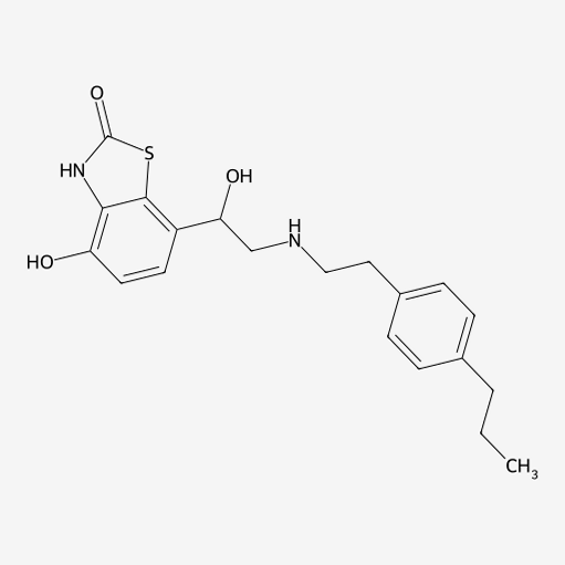 CCCc1ccc(CCNCC(O)c2ccc(O)c3[nH]c(=O)sc23)cc1